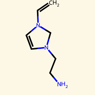 C=CN1C=CN(CCN)C1